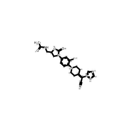 CC(=O)NCC1CN(c2ccc(N3CCC(=C(C#N)n4cncn4)CC3)c(F)c2)C(=O)O1